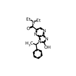 CCN(CC)C(=O)c1cnc2nc(O)n(C(C)c3ccccc3)c2n1